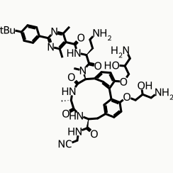 Cc1nc(-c2ccc(C(C)(C)C)cc2)nc(C)c1C(=O)N[C@@H](CCN)C(=O)N(C)[C@@H]1C(=O)N[C@@H](C)C(=O)N[C@H](C(=O)NCC#N)Cc2ccc(OCC(O)CN)c(c2)-c2cc1ccc2OCC(O)CN